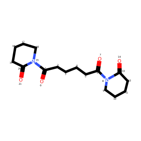 O=C(CCCCC(=O)N1CCCCC1=O)N1CCCCC1=O